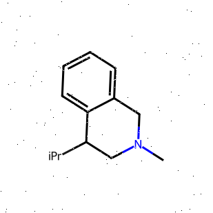 CC(C)C1CN(C)Cc2ccccc21